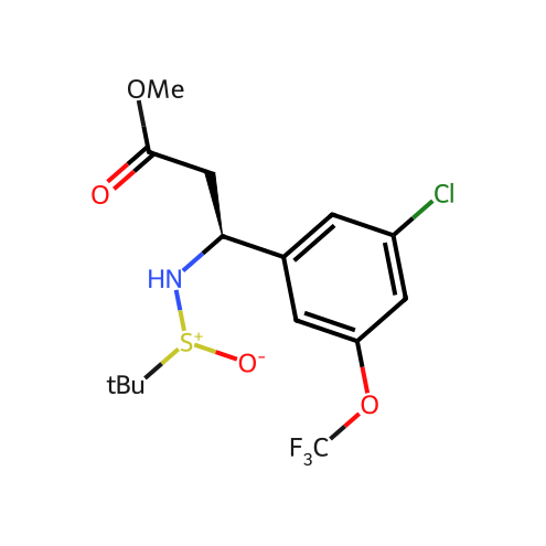 COC(=O)C[C@H](N[S+]([O-])C(C)(C)C)c1cc(Cl)cc(OC(F)(F)F)c1